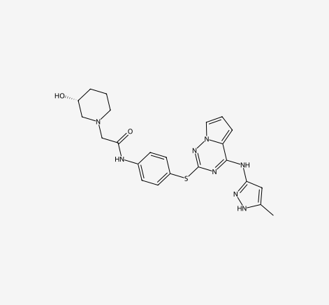 Cc1cc(Nc2nc(Sc3ccc(NC(=O)CN4CCC[C@@H](O)C4)cc3)nn3cccc23)n[nH]1